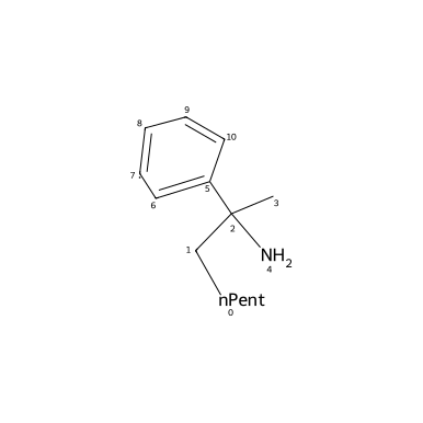 CCCCCCC(C)(N)c1c[c]ccc1